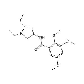 CCN1CC(NC(=O)c2cc(OC)cc(OC)c2OC)CN1CC